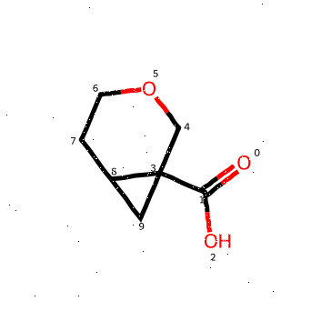 O=C(O)C12COCCC1C2